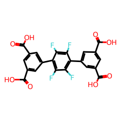 O=C(O)c1cc(C(=O)O)cc(-c2c(F)c(F)c(-c3cc(C(=O)O)cc(C(=O)O)c3)c(F)c2F)c1